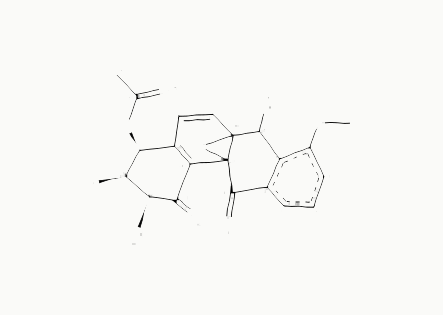 COc1cccc2c1C(O)C13C=CC4=C(C(=O)[C@@H](O)[C@@H](C)[C@H]4OC(C)=O)C1(O3)C2=O